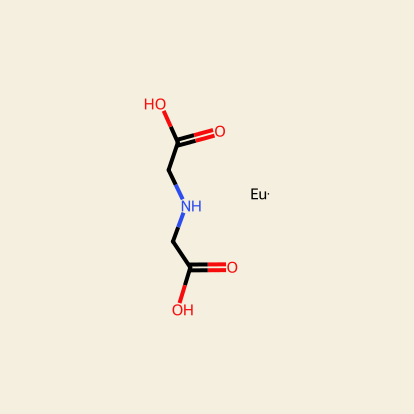 O=C(O)CNCC(=O)O.[Eu]